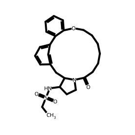 CCS(=O)(=O)NC1CCN2C(=O)CCCCCCOc3ccccc3-c3cccc(c3)CC12